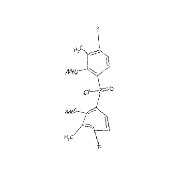 COc1c(P(=O)(Cl)c2ccc(F)c(C)c2OC)ccc(F)c1C